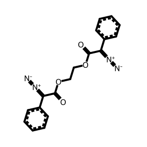 [N-]=[N+]=C(C(=O)OCCOC(=O)C(=[N+]=[N-])c1ccccc1)c1ccccc1